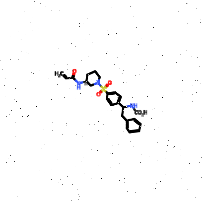 C=CC(=O)N[C@H]1CCCN(S(=O)(=O)c2ccc(C(Cc3ccccc3)NC(=O)O)cc2)C1